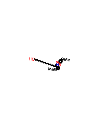 COc1ccc(S(=O)(=O)n2cc(CCCCCCCCCCCCCCCCO)c3c(OC)cccc32)cc1